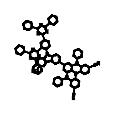 N#Cc1ccc2c(c1)N(c1ccccc1)c1cc(-c3ccc4c(c3)c3cc(O)ccc3n4-c3ccc(-c4nc(-c5ccccc5)nc(-c5ccccc5)n4)cc3-c3nc(-c4ccccc4)nc(-c4ccccc4)n3)cc3c1B2c1ccc(C#N)cc1N3c1ccccc1